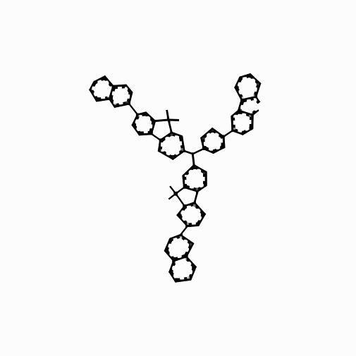 CC1(C)c2cc(-c3ccc4ccccc4c3)ccc2-c2ccc(C(c3ccc(-c4ccc5oc6ccccc6c5c4)cc3)c3ccc4c(c3)C(C)(C)c3cc(-c5ccc6ccccc6c5)ccc3-4)cc21